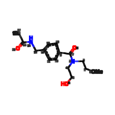 COCCN(CCO)C(=O)c1ccc(CNC(=O)C(C)(C)C)cc1